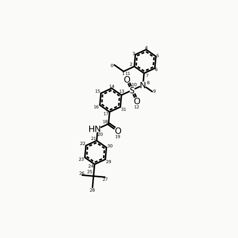 CCc1ccccc1N(C)S(=O)(=O)c1cccc(C(=O)Nc2ccc(C(C)(C)C)cc2)c1